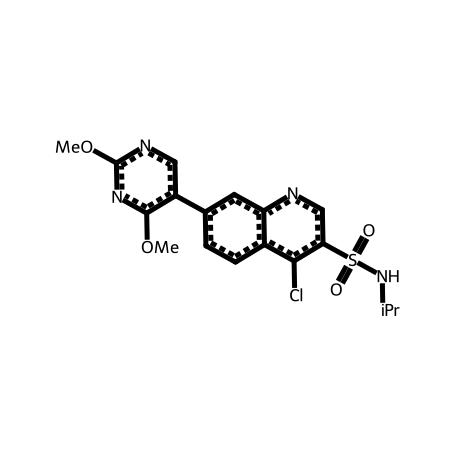 COc1ncc(-c2ccc3c(Cl)c(S(=O)(=O)NC(C)C)cnc3c2)c(OC)n1